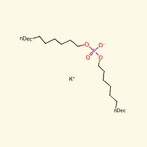 CCCCCCCCCCCCCCCCOP(=O)([O-])OCCCCCCCCCCCCCCCC.[K+]